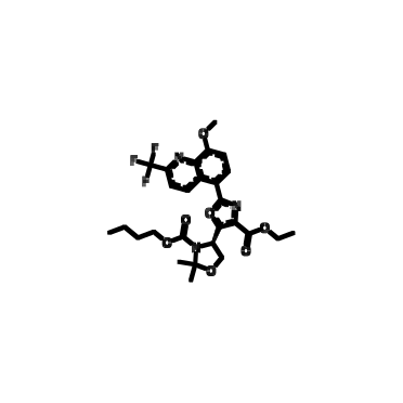 CCCCOC(=O)N1[C@@H](c2oc(-c3ccc(OC)c4nc(C(F)(F)F)ccc34)nc2C(=O)OCC)COC1(C)C